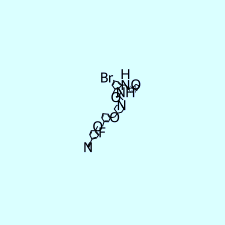 Cc1cc(Br)cc(NC[C@@H]2CCO2)c1NC(=O)CN1CCC(Oc2cccc(COc3ccc(C#N)cc3F)c2)CC1